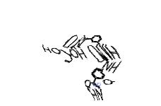 CCC(CO)OC(=O)N[C@@H](C)c1cccc(NC(=O)Nc2ccc(/C(=C/NC)OC)c(OC)c2)c1